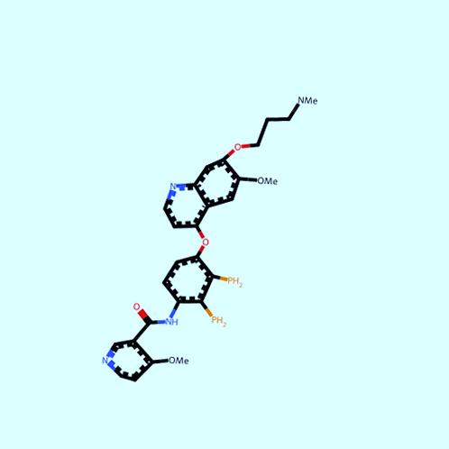 CNCCCOc1cc2nccc(Oc3ccc(NC(=O)c4cnccc4OC)c(P)c3P)c2cc1OC